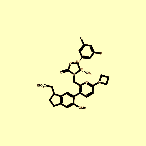 CCOC(=O)CC1CCc2cc(OC)c(-c3ccc(N4CCC4)nc3CN3C(=O)O[C@H](c4cc(F)cc(F)c4)[C@@H]3C)cc21